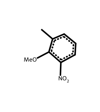 COc1c(C)cccc1[N+](=O)[O-]